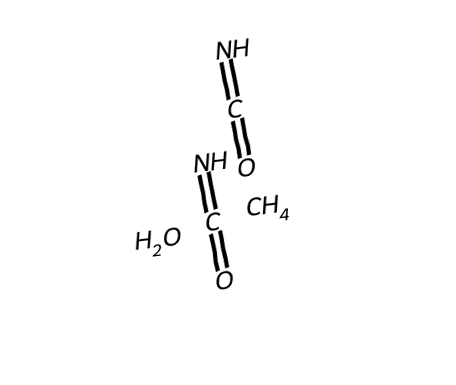 C.N=C=O.N=C=O.O